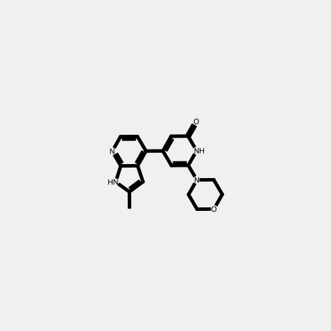 Cc1cc2c(-c3cc(N4CCOCC4)[nH]c(=O)c3)ccnc2[nH]1